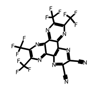 N#Cc1nc2c(nc1C#N)c1nc(C(F)(F)F)c(C(F)(F)F)nc1c1nc(C(F)(F)F)c(C(F)(F)F)nc21